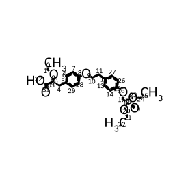 CCO[C@@H](Cc1ccc(OCCc2ccc(OCP(=O)(OCC)OCC)cc2)cc1)C(=O)O